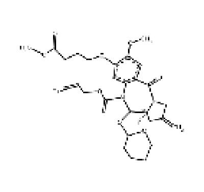 C=CCOC(=O)N1c2cc(OCCCC(=O)OC)c(OC)cc2C(=O)N2CC(=C)C[C@H]2C1OC1CCCCO1